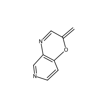 C=C1C=Nc2cnccc2O1